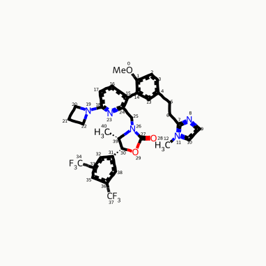 COc1ccc(CCc2nccn2C)cc1-c1ccc(N2CCC2)nc1CN1C(=O)O[C@H](c2cc(C(F)(F)F)cc(C(F)(F)F)c2)[C@@H]1C